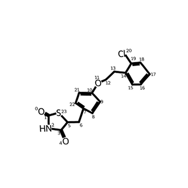 O=C1NC(=O)C(Cc2ccc(OCCc3ccccc3Cl)cc2)S1